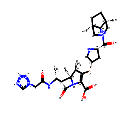 C[C@@H](NC(=O)Cn1cnnn1)[C@H]1C(=O)N2C(C(=O)O)=C(S[C@@H]3CN[C@H](C(=O)N4C[C@H]5CC[C@@H](C4)C5N)C3)[C@H](C)[C@H]12